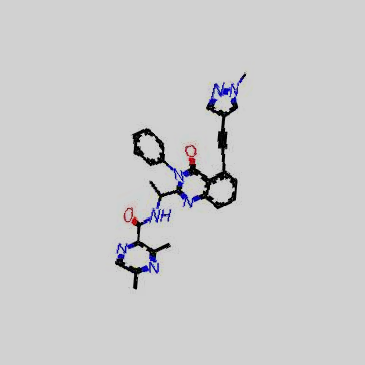 Cc1cnc(C(=O)NC(C)c2nc3cccc(C#Cc4cnn(C)c4)c3c(=O)n2-c2ccccc2)c(C)n1